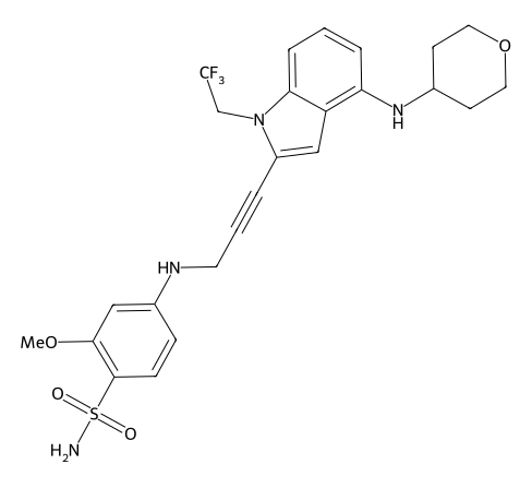 COc1cc(NCC#Cc2cc3c(NC4CCOCC4)cccc3n2CC(F)(F)F)ccc1S(N)(=O)=O